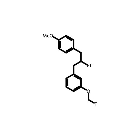 CCC(Cc1ccc(OC)cc1)Cc1cccc(OCF)c1